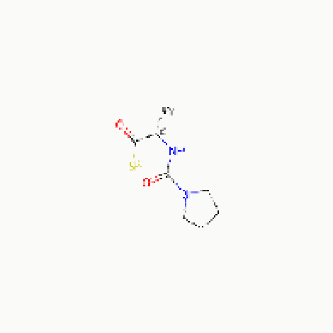 CC(C)[C@H](NC(=O)N1CCCC1)C(=O)S